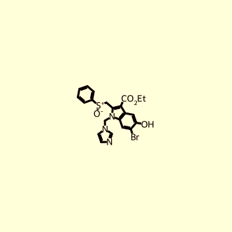 CCOC(=O)c1c(C[S+]([O-])c2ccccc2)n(Cn2ccnc2)c2cc(Br)c(O)cc12